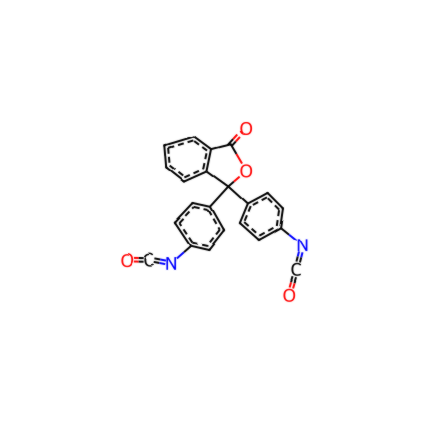 O=C=Nc1ccc(C2(c3ccc(N=C=O)cc3)OC(=O)c3ccccc32)cc1